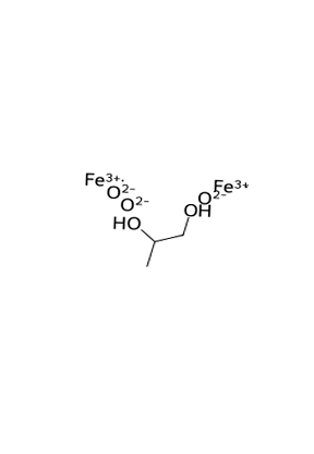 CC(O)CO.[Fe+3].[Fe+3].[O-2].[O-2].[O-2]